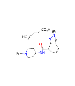 CC(C)N1CCC(NC(=O)c2cccc3cn(C(C)C)nc23)CC1.O=C(O)C=CC(=O)O